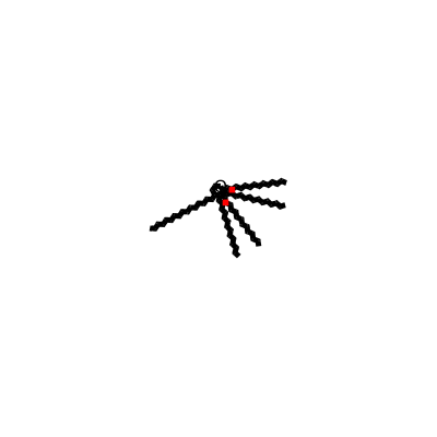 CCCCCCCCCCCCCCCCC1CCOC(CCCCCCCCCCCCCC)(CCCCCCCCCCCCCC)C1(CCCCCCCCCCCCCC)CCCCCCCCCCCCCC